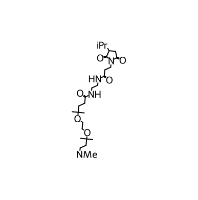 CNCCC(C)(C)OCCOC(C)(C)CCC(=O)NCCNC(=O)CCN1C(=O)CC(C(C)C)C1=O